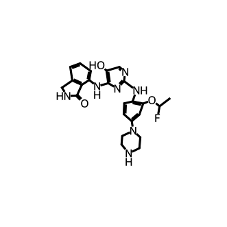 CC(F)Oc1cc(N2CCNCC2)ccc1Nc1ncc(O)c(Nc2cccc3c2C(=O)NC3)n1